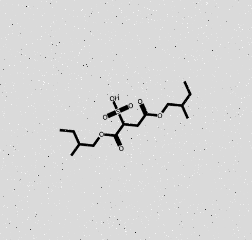 CCC(C)COC(=O)CC(C(=O)OCC(C)CC)S(=O)(=O)O